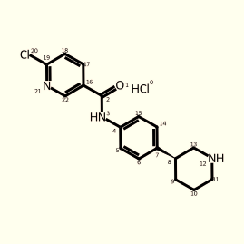 Cl.O=C(Nc1ccc([C@@H]2CCCNC2)cc1)c1ccc(Cl)nc1